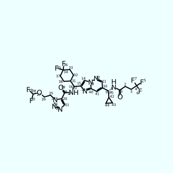 O=C(CCC(F)(F)F)N[C@@H](c1cnn2cc([C@@H](NC(=O)c3cnnn3CCOC(F)F)C3CCC(F)(F)CC3)nc2c1)C1CC1